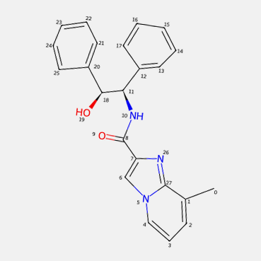 Cc1cccn2cc(C(=O)N[C@H](c3ccccc3)[C@@H](O)c3ccccc3)nc12